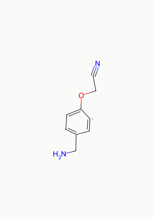 N#CCOc1[c]cc(CN)cc1